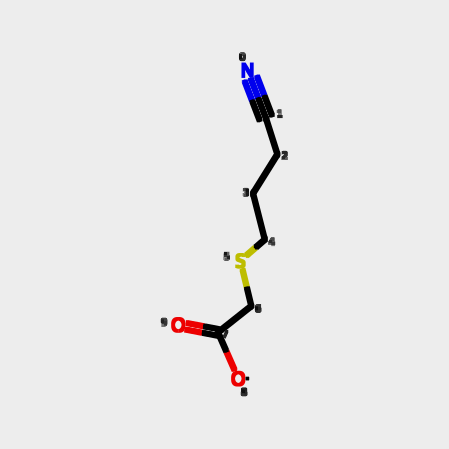 N#CCCCSCC([O])=O